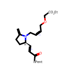 C=C1CC[C@H](/C=C/C(=O)CCCCC)N1C/C=C\COCC(=O)OCC